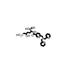 O=C(O)CC(O)CCC(NC(=O)c1ccc(CN(Cc2ccccn2)Cc2ccccn2)nc1)B(O)O